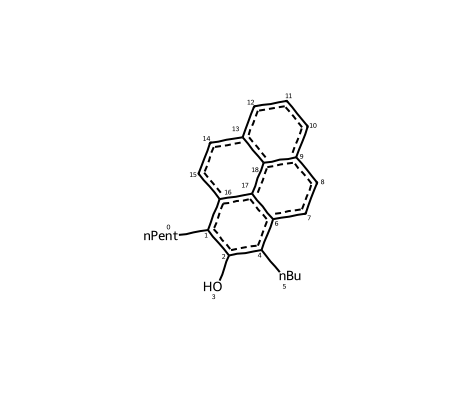 CCCCCc1c(O)c(CCCC)c2ccc3cccc4ccc1c2c34